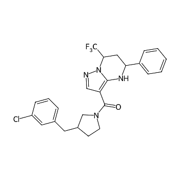 O=C(c1cnn2c1NC(c1ccccc1)CC2C(F)(F)F)N1CCC(Cc2cccc(Cl)c2)C1